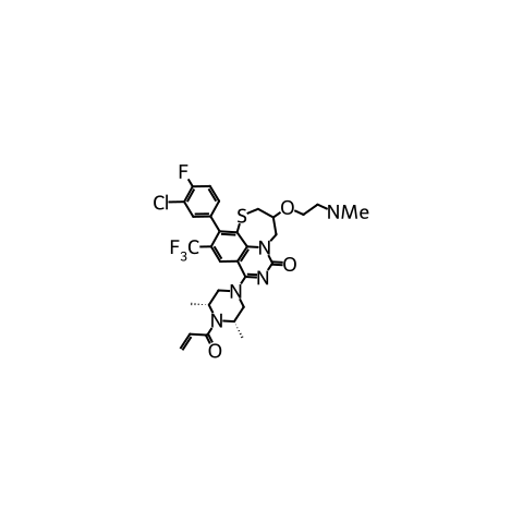 C=CC(=O)N1[C@H](C)CN(c2nc(=O)n3c4c(c(-c5ccc(F)c(Cl)c5)c(C(F)(F)F)cc24)SCC(OCCNC)C3)C[C@@H]1C